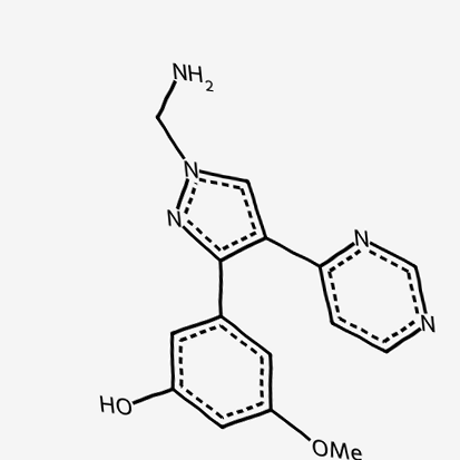 COc1cc(O)cc(-c2nn(CN)cc2-c2ccncn2)c1